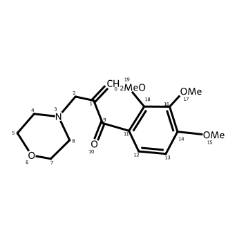 C=C(CN1CCOCC1)C(=O)c1ccc(OC)c(OC)c1OC